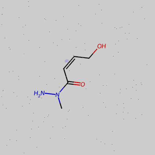 CN(N)C(=O)/C=C\CO